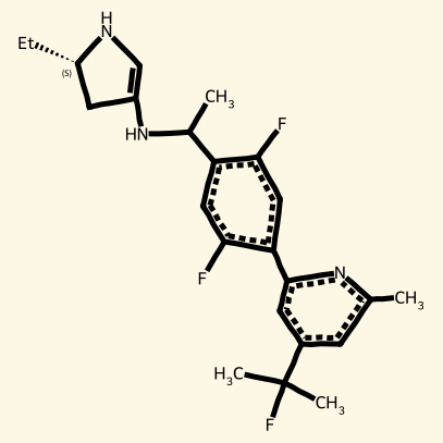 CC[C@H]1CC(NC(C)c2cc(F)c(-c3cc(C(C)(C)F)cc(C)n3)cc2F)=CN1